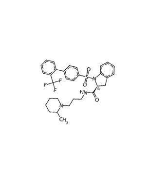 CC1CCCCN1CCCNC(=O)[C@@H]1Cc2ccccc2N1S(=O)(=O)c1ccc(-c2ccccc2C(F)(F)F)cc1